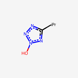 CC(C)c1nnn(O)n1